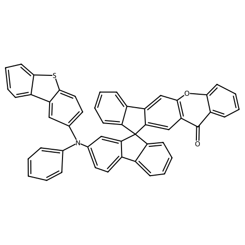 O=c1c2ccccc2oc2cc3c(cc12)C1(c2ccccc2-c2ccc(N(c4ccccc4)c4ccc5sc6ccccc6c5c4)cc21)c1ccccc1-3